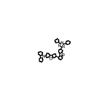 c1ccc(-c2nc(-c3ccccc3)nc(-c3ccc4c(c3)oc3cccc(-c5ccc6c(c5)oc5cc(-n7c8ccccc8c8ccccc87)ccc56)c34)n2)cc1